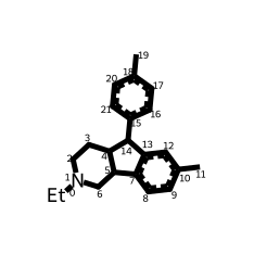 CCN1CCC2C(C1)c1ccc(C)cc1C2c1ccc(C)cc1